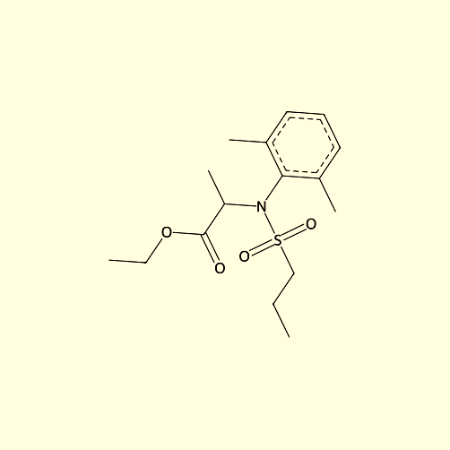 CCCS(=O)(=O)N(c1c(C)cccc1C)C(C)C(=O)OCC